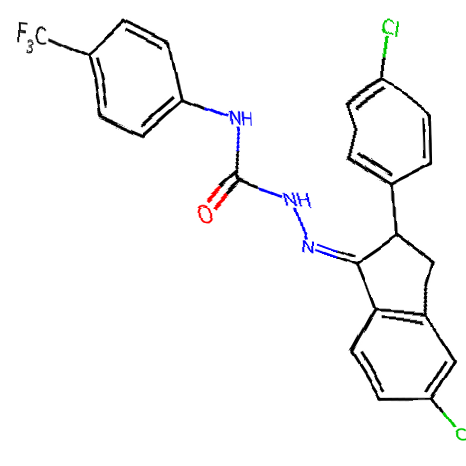 O=C(NN=C1c2ccc(Cl)cc2CC1c1ccc(Cl)cc1)Nc1ccc(C(F)(F)F)cc1